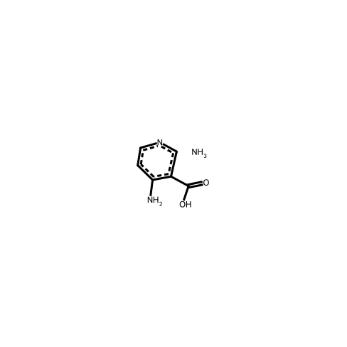 N.Nc1ccncc1C(=O)O